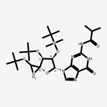 CC(C)C(=O)Nc1nc2c(ncn2[C@@H]2O[C@@]3([SiH2]C3OC(C)(C)C)[C@@H](OC(C)(C)C)[C@H]2O[Si](C)(C)C(C)(C)C)c(=O)[nH]1